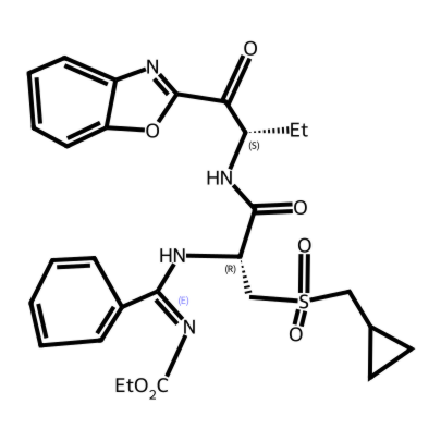 CCOC(=O)/N=C(/N[C@@H](CS(=O)(=O)CC1CC1)C(=O)N[C@@H](CC)C(=O)c1nc2ccccc2o1)c1ccccc1